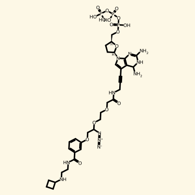 [N-]=[N+]=NC(COc1cccc(C(=O)NCCNC2CCC2)c1)OCCOCC(=O)NCC#Cc1cn([C@H]2CC[C@@H](COP(=O)(O)OP(=O)(O)OP(=O)(O)O)O2)c2c1C(N)NC(N)=N2